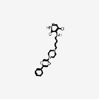 O=c1[nH]ncc(Cl)c1NCCCCN1CCN(C2=COC(C3=CC=CCC3)=CO2)CC1